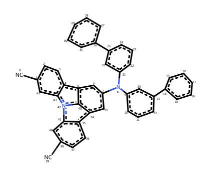 N#Cc1ccc2c3cc(N(c4cccc(-c5ccccc5)c4)c4cccc(-c5ccccc5)c4)cc4c5ccc(C#N)cc5n(c2c1)c34